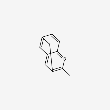 Cc1nc2ccc3cc2cc1[C]3